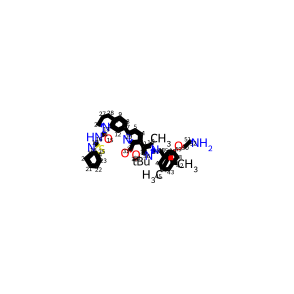 Cc1c(-c2ccc(-c3ccc4c(c3)N(C(=O)Nc3nc5ccccc5s3)CCC4)nc2C(=O)OC(C)(C)C)cnn1CC12CC3(C)CC(C)(C1)CC(OCCN)(C3)C2